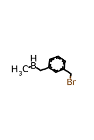 CBCc1cccc(CBr)c1